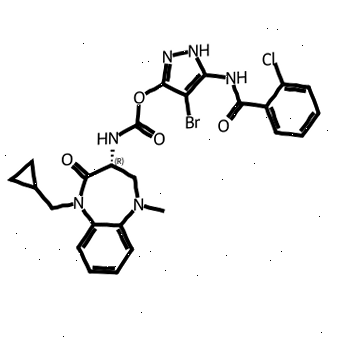 CN1C[C@@H](NC(=O)Oc2n[nH]c(NC(=O)c3ccccc3Cl)c2Br)C(=O)N(CC2CC2)c2ccccc21